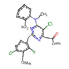 COC(=O)c1nc(-c2ccc(Cl)c(OC)c2F)nc(N(C)c2ccccc2[N+](=O)[O-])c1Cl